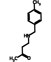 CC(=O)CCNCc1ccc(C)cc1